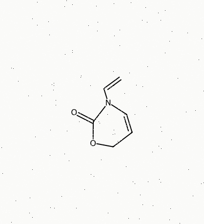 C=CN1C=CCOC1=O